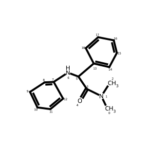 CN(C)C(=O)C(Nc1ccccc1)c1ccccc1